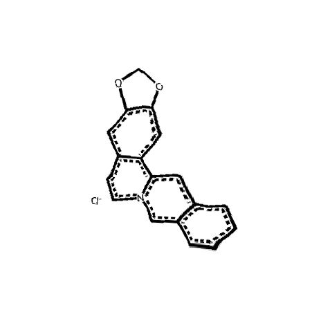 [Cl-].c1ccc2c[n+]3ccc4cc5c(cc4c3cc2c1)OCO5